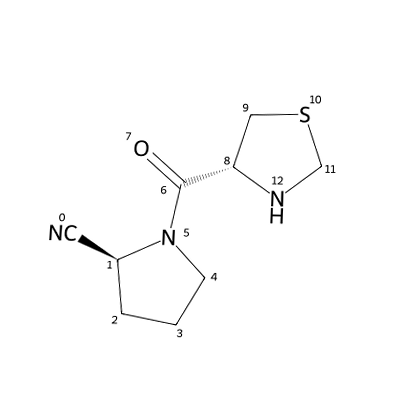 N#C[C@@H]1CCCN1C(=O)[C@@H]1CSCN1